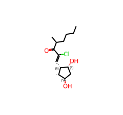 CCCCC(C)C(=O)C(Cl)=C[C@H]1[CH][C@H](O)C[C@H]1O